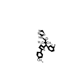 Cc1ccc(-c2ccc(C(c3cccc(F)c3)C(C)(C)C(=O)Nc3nncs3)s2)cc1